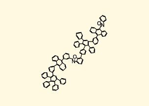 c1ccc(-c2cc(-c3cccc(-c4c5ccccc5c(-c5cccc(-c6nc7cccc(-c8ccc(-c9c(-c%10ccccc%10)c(-c%10ccccc%10)cc(-c%10cccc(-c%11c%12ccccc%12c(-c%12nc%13ccccc%13o%12)c%12ccccc%11%12)c%10)c9-c9ccccc9)cc8)c7o6)c5)c5ccccc45)c3)c(-c3ccccc3)c(-c3ccccc3)c2-c2ccccc2)cc1